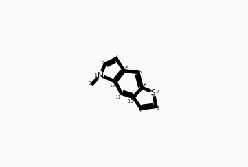 Cn1ccc2cc3sccc3cc21